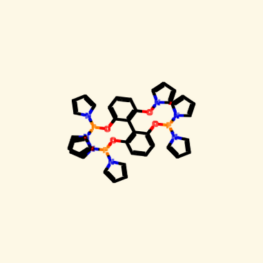 c1cc(On2cccc2)c(-c2c(OP(n3cccc3)n3cccc3)cccc2OP(n2cccc2)n2cccc2)c(OP(n2cccc2)n2cccc2)c1